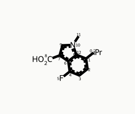 CC(C)c1ccc(F)c2c(C(=O)O)cn(C)c12